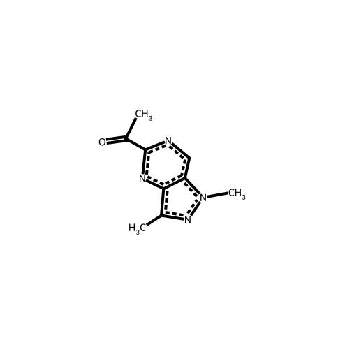 CC(=O)c1ncc2c(n1)c(C)nn2C